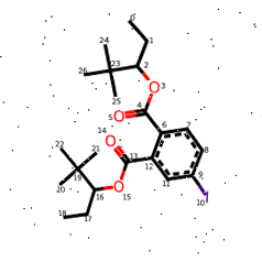 CCC(OC(=O)c1ccc(I)cc1C(=O)OC(CC)C(C)(C)C)C(C)(C)C